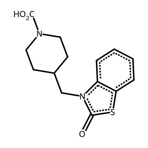 O=C(O)N1CCC(Cn2c(=O)sc3ccccc32)CC1